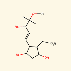 CCCOC(C)(C)C(O)C=CC1C(O)CC(O)C1CC(=O)O